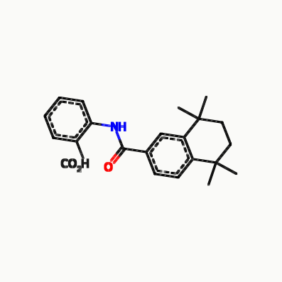 CC1(C)CCC(C)(C)c2cc(C(=O)Nc3ccccc3C(=O)O)ccc21